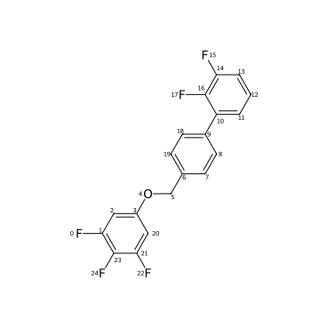 Fc1cc(OCc2ccc(-c3cccc(F)c3F)cc2)cc(F)c1F